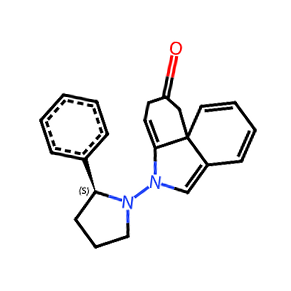 O=C1CC=C2N(N3CCC[C@H]3c3ccccc3)C=C3C=CC=CC32C1